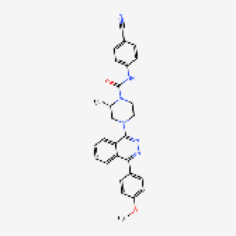 COc1ccc(-c2nnc(N3CCN(C(=O)Nc4ccc(C#N)cc4)[C@@H](C)C3)c3ccccc23)cc1